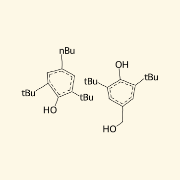 CC(C)(C)c1cc(CO)cc(C(C)(C)C)c1O.CCCCc1cc(C(C)(C)C)c(O)c(C(C)(C)C)c1